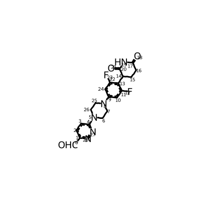 O=Cc1ccc(N2CCN(c3cc(F)c(C4CCC(=O)NC4=O)c(F)c3)CC2)nn1